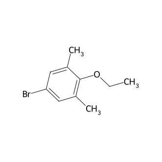 CCOc1c(C)cc(Br)cc1C